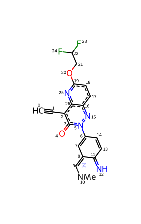 C#Cc1c(=O)n(C2=C/C(=C/NC)C(=N)C=C2)nc2ccc(OCC(F)F)nc12